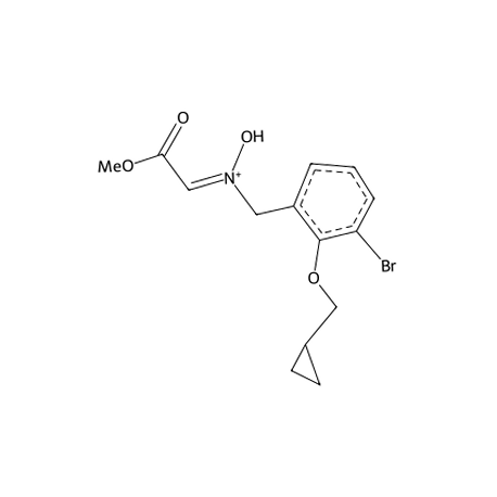 COC(=O)/C=[N+](\O)Cc1cccc(Br)c1OCC1CC1